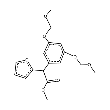 COCOc1cc(OCOC)cc(C(C(=O)OC)c2ccco2)c1